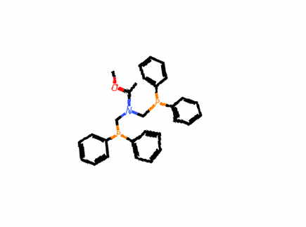 COC(C)N(CP(c1ccccc1)c1ccccc1)CP(c1ccccc1)c1ccccc1